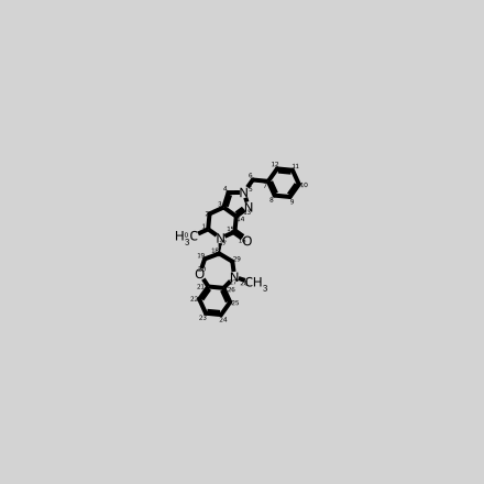 CC1Cc2cn(Cc3ccccc3)nc2C(=O)N1[C@@H]1COc2ccccc2N(C)C1